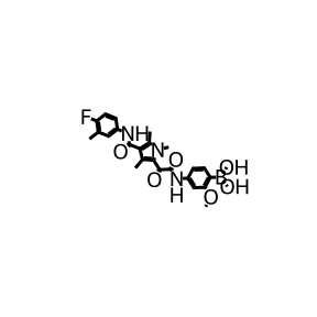 COc1cc(NC(=O)C(=O)c2c(C)c(C(=O)Nc3ccc(F)c(C)c3)c(C)n2C)ccc1B(O)O